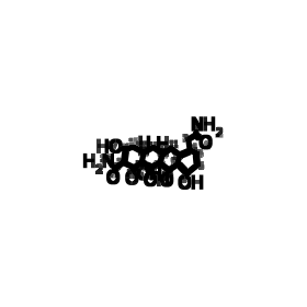 NC(=O)Cc1ccc(O)c2c1C[C@H]1C[C@H]3CC(O)=C(C(N)=O)C(=O)[C@@]3(O)C(O)C1C2=O